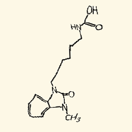 Cn1c(=O)n(CCCCCCNC(=O)O)c2ccccc21